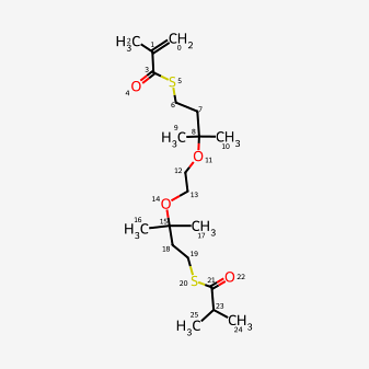 C=C(C)C(=O)SCCC(C)(C)OCCOC(C)(C)CCSC(=O)C(C)C